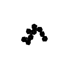 c1ccc(-c2ccc(-c3cccc(-n4c5ccccc5c5c6c7ccccc7n(-c7ccc8c9cccc%10c%11ccccc%11n(c8c7)c%109)c6ccc54)c3)cc2)cc1